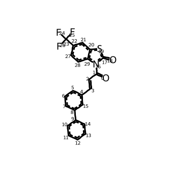 O=C(/C=C/c1cccc(-c2ccccc2)c1)n1c(=O)sc2cc(C(F)(F)F)ccc21